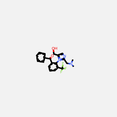 CN(C)Cc1ncc(CO)n1-c1c(C(=O)c2ccccc2)cccc1C(F)(F)F